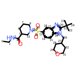 CCNC(=O)C1CCCN(S(=O)(=O)c2ccc3c(c2)nc(C(C)(C)C)n3CC2CCOCC2)C1